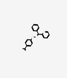 O=C(O)c1ccc(N/N=C(\c2ccccc2)c2ccccn2)cc1